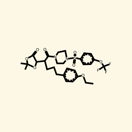 CCOc1ccc(CCCC(C(=O)N2CCN(S(=O)(=O)c3ccc(OC(F)(F)F)cc3)CC2)C2OC(C)(C)OC2=O)cc1